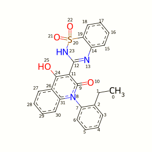 CCc1ccccc1-n1c(=O)c(C2=Nc3ccccc3S(=O)(=O)N2)c(O)c2ccccc21